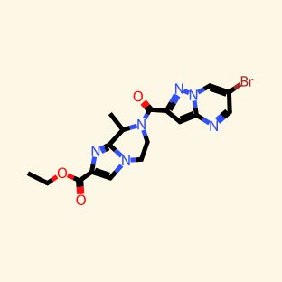 CCOC(=O)c1cn2c(n1)C(C)N(C(=O)c1cc3ncc(Br)cn3n1)CC2